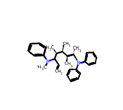 C=CC([C@@H](C)[C@@H](C)[C@H](C)[C@H](C)N(c1ccccc1)c1ccccc1)N(C)c1ccccc1